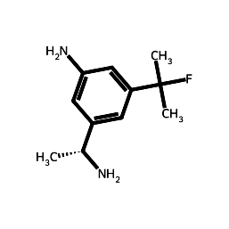 C[C@@H](N)c1cc(N)cc(C(C)(C)F)c1